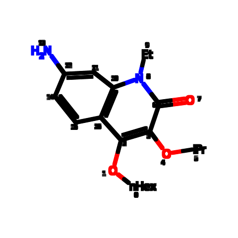 CCCCCCOc1c(OC(C)C)c(=O)n(CC)c2cc(N)ccc12